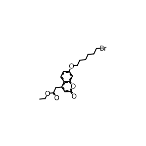 CCOC(=O)Cc1cc(=O)oc2cc(OCCCCCCBr)ccc12